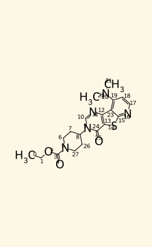 CCOC(=O)N1CCC(n2cnc3c(sc4nccc(N(C)C)c43)c2=O)CC1